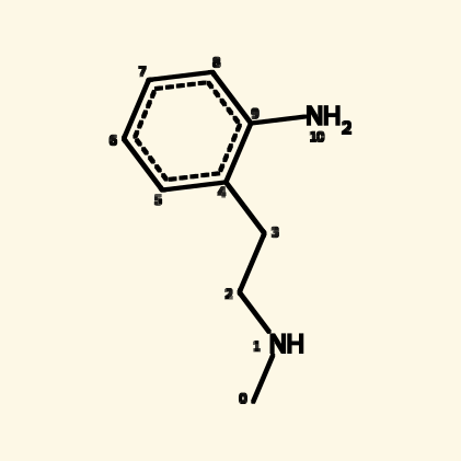 CNCCc1ccccc1N